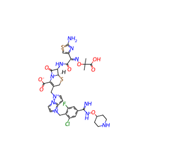 CC(C)(O/N=C(\C(=O)N[C@@H]1C(=O)N2C(C(=O)[O-])=C(C[n+]3ccc4n(Cc5c(F)cc(C(=N)NOC6CCNCC6)cc5Cl)ccn43)CS[C@H]12)c1csc(N)n1)C(=O)O